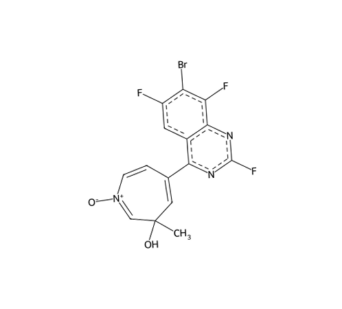 CC1(O)C=C(c2nc(F)nc3c(F)c(Br)c(F)cc23)C=C[N+]([O-])=C1